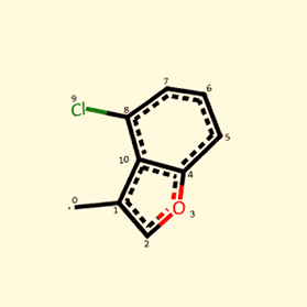 [CH2]c1coc2cccc(Cl)c12